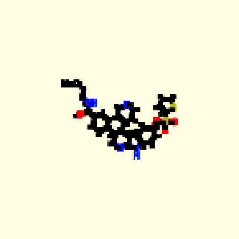 COCCNC(=O)c1ccc(-c2cnc3[nH]c4ccc(OS(=O)(=O)c5cccs5)cc4c3c2-c2ccncc2)cc1